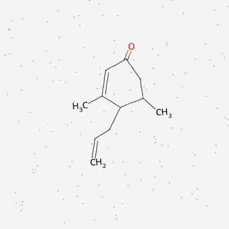 C=CCC1C(C)=CC(=O)CC1C